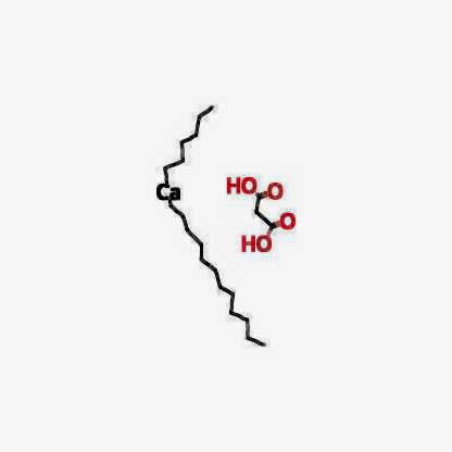 CCCCCCCCCCC[CH2][Ca][CH2]CCCCC.O=C(O)CC(=O)O